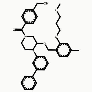 COCCCOc1cc(C)ccc1COC1CN(C(=O)c2ccc(CO)cc2)CC[C@@H]1c1cccc(-c2ccccc2)c1